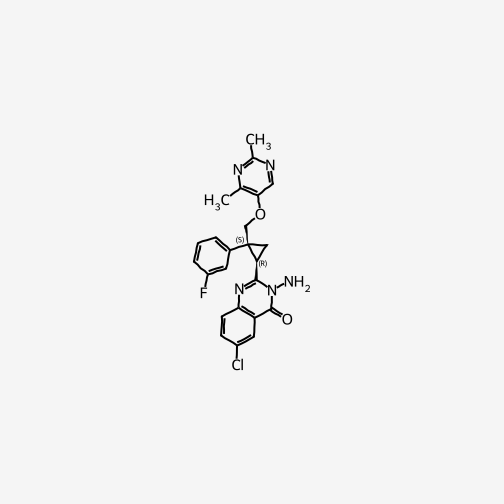 Cc1ncc(OC[C@@]2(c3cccc(F)c3)C[C@H]2c2nc3ccc(Cl)cc3c(=O)n2N)c(C)n1